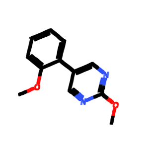 COc1ncc(-c2cc[c]cc2OC)cn1